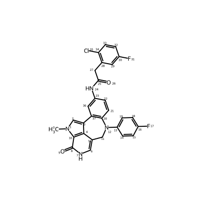 Cn1cc2c3c(c[nH]c(=O)c31)CN(c1ccc(F)cc1)c1ccc(NC(=O)Cc3cc(F)ccc3Cl)cc1-2